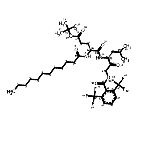 CCCCCCCCCCCC(=O)N[C@@H](CCC(=O)OC(C)(C)C)C(=O)N[C@@H](CC(C)C)C(=O)COC(=O)c1c(C(F)(F)F)cccc1C(F)(F)F